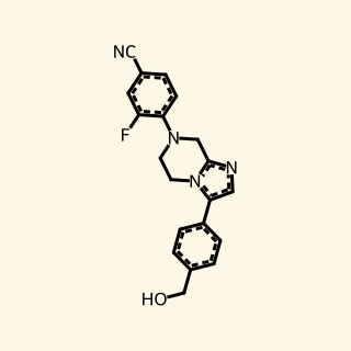 N#Cc1ccc(N2CCn3c(-c4ccc(CO)cc4)cnc3C2)c(F)c1